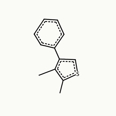 Cc1scc(-c2ccccc2)c1C